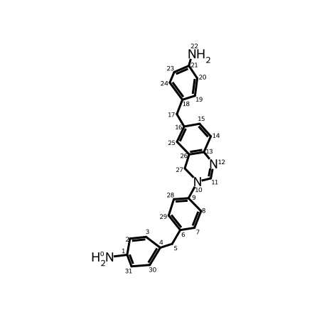 Nc1ccc(Cc2ccc(N3C=Nc4ccc(Cc5ccc(N)cc5)cc4C3)cc2)cc1